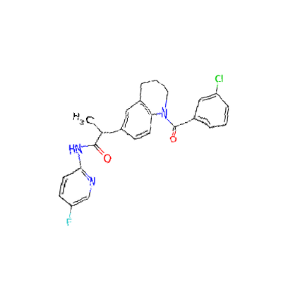 CC(C(=O)Nc1ccc(F)cn1)c1ccc2c(c1)CCCN2C(=O)c1cccc(Cl)c1